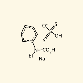 CCN(C(=O)O)c1ccccc1.[Na+].[O-]S(O)(=S)=S